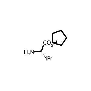 C1CCCC1.CC(C)[C@H](N)C(=O)O